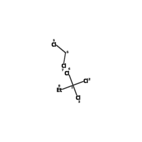 CCC(Cl)(Cl)Cl.ClCCl